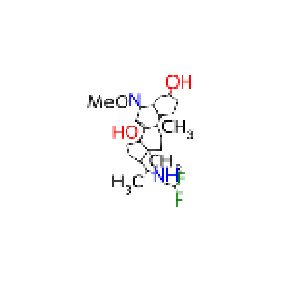 CO/N=C1\C=C2C(CCC3(C)C(C(C)NCC(F)F)CC[C@@]23O)C2(C)CCC(O)CC12